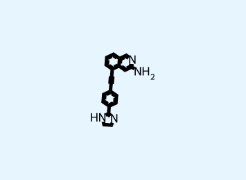 Nc1cc2c(C#Cc3ccc(C4=NCCN4)cc3)cccc2cn1